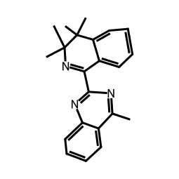 Cc1nc(C2=NC(C)(C)C(C)(C)c3ccccc32)nc2ccccc12